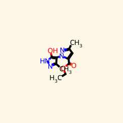 CCOC(=O)c1cc(C)nn1-c1c(C)n[nH]c1O